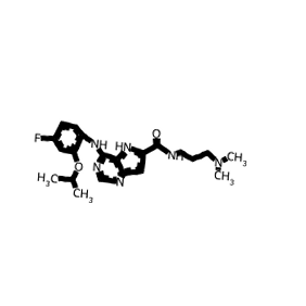 CC(C)Oc1cc(F)ccc1Nc1ncnc2cc(C(=O)NCCCN(C)C)[nH]c12